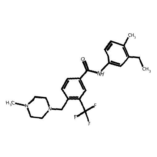 CCc1cc(NC(=O)c2ccc(CN3CCN(C)CC3)c(C(F)(F)F)c2)ccc1C